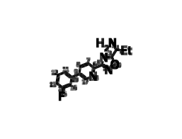 CCC(N)c1nc(-c2ccc(-c3cccc(F)c3)cn2)no1